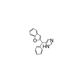 c1ccc(C(c2cnc[nH]2)c2cc3ccccc3o2)cc1